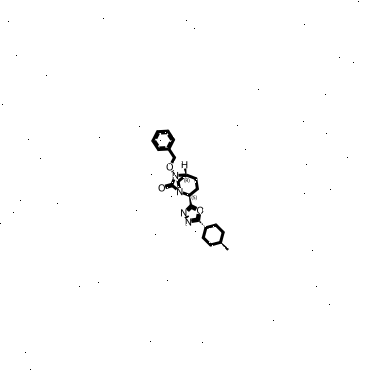 C[C@H]1CC[C@H](c2nnc([C@@H]3CC[C@@H]4CN3C(=O)N4OCc3ccccc3)o2)CC1